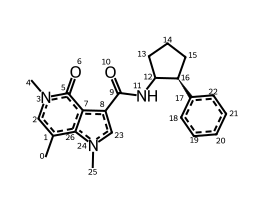 Cc1cn(C)c(=O)c2c(C(=O)NC3CCC[C@H]3c3ccccc3)cn(C)c12